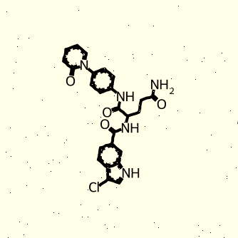 NC(=O)CCC(NC(=O)c1ccc2c(Cl)c[nH]c2c1)C(=O)Nc1ccc(-n2ccccc2=O)cc1